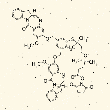 COc1cc2c(cc1OCc1cc(COc3cc4c(cc3OC)C(=O)N3c5ccccc5C[C@H]3C=N4)cc(SC(C)(C)CCOC(C)(C)CCC(=O)ON3C(=O)CCC3=O)c1)N=C[C@@H]1Cc3ccccc3N1C2=O